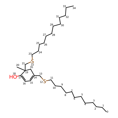 CCCCCCCCCCCCSCC1=CC=C(O)C(C)(CSCCCCCCCCCCCC)C1